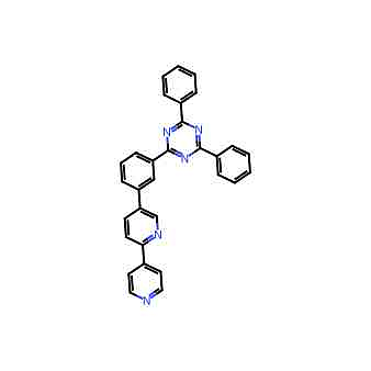 c1ccc(-c2nc(-c3ccccc3)nc(-c3cccc(-c4ccc(-c5ccncc5)nc4)c3)n2)cc1